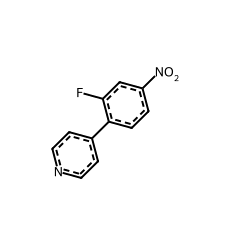 O=[N+]([O-])c1ccc(-c2ccncc2)c(F)c1